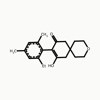 CCc1cc(C)cc(C)c1C1=C(O)CC2(CCOCC2)CC1=O